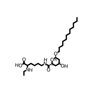 CCCCCCCCCCCCO[C@H]1C[C@@H](O)C[C@@H](C(=O)NCCCCC(NCC)C(=O)O)O1